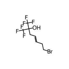 OC(CC=CCCBr)(C(F)(F)F)C(F)(F)F